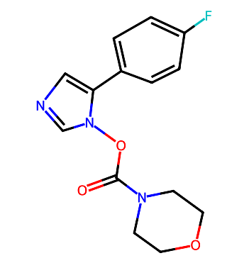 O=C(On1cncc1-c1ccc(F)cc1)N1CCOCC1